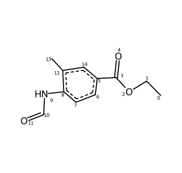 CCOC(=O)c1ccc(NC=O)c(C)c1